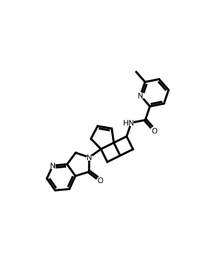 Cc1cccc(C(=O)NC2CC3CC4(N5Cc6ncccc6C5=O)CC=CC324)n1